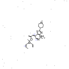 C=CC1=C(/C=C\C)C1(C)OC(=C)/C=C(\C=N/C(C)N)c1cnc(C2CCN(C)CC2)s1